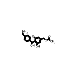 CC(=O)OCc1cc(O)c(C(O)c2ccc(CN)cc2)c(F)c1